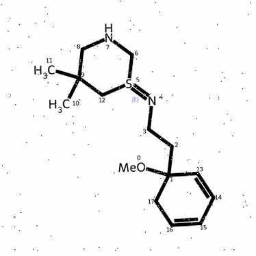 COC1(CC/N=S2/CNCC(C)(C)C2)C=CC=CC1